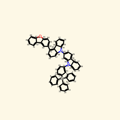 c1ccc([Si](c2ccccc2)(c2ccccc2)c2cccc(-n3c4ccccc4c4ccc(-n5c6ccccc6c6c(-c7ccc8oc9ccccc9c8c7)cccc65)cc43)c2)cc1